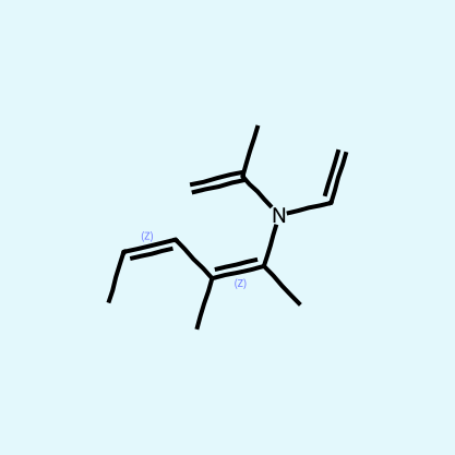 C=CN(C(=C)C)/C(C)=C(C)\C=C/C